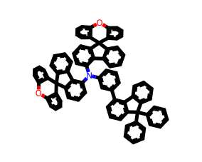 c1ccc(C2(c3ccccc3)c3ccccc3-c3c(-c4cccc(N(c5cccc6c5-c5ccccc5C65c6ccccc6Oc6ccccc65)c5cccc6c5-c5ccccc5C65c6ccccc6Oc6ccccc65)c4)cccc32)cc1